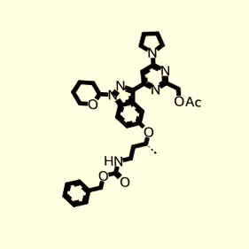 CC(=O)OCc1nc(-c2nn(C3CCCCO3)c3ccc(O[C@H](C)CCNC(=O)OCc4ccccc4)cc23)cc(N2CCCC2)n1